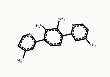 Cc1ccnc(-c2ccc(-c3cc(C)ccn3)c(N)c2N)c1